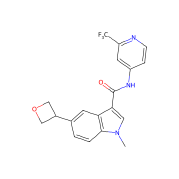 Cn1cc(C(=O)Nc2ccnc(C(F)(F)F)c2)c2cc(C3COC3)ccc21